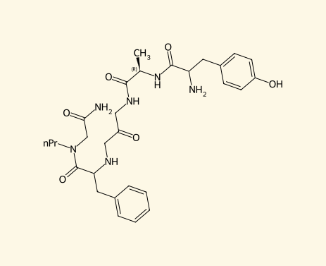 CCCN(CC(N)=O)C(=O)C(Cc1ccccc1)NCC(=O)CNC(=O)[C@@H](C)NC(=O)C(N)Cc1ccc(O)cc1